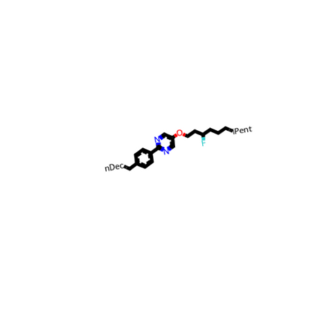 CCCCCCCCCCCc1ccc(-c2ncc(OCCC(F)CCCC(C)CCC)cn2)cc1